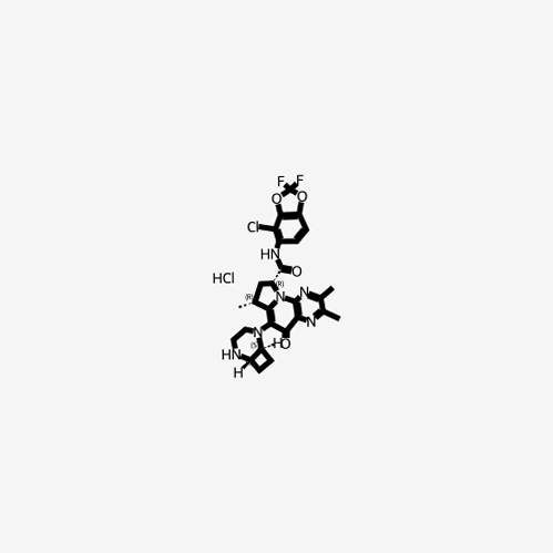 Cc1nc2c(=O)c(N3CCN[C@H]4CC[C@@H]43)c3n(c2nc1C)[C@@H](C(=O)Nc1ccc2c(c1Cl)OC(F)(F)O2)C[C@H]3C.Cl